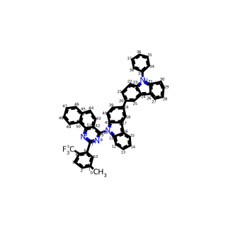 Cc1ccc(C(F)(F)F)c(-c2nc(-n3c4ccccc4c4cc(-c5ccc6c(c5)c5ccccc5n6-c5ccccc5)ccc43)c3ccc4ccccc4c3n2)c1